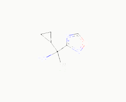 CC(N)(c1ncon1)C1CC1.Cl